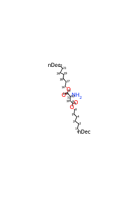 CCCCCCCCCCCCCCCCOC(=O)C[C@H](N)C(=O)OCCCCCCCCCCCCCCCC